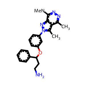 CNc1nnc(C)c2c(C)n(-c3cccc(OC(CCN)c4ccccc4)c3)nc12